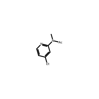 CCc1ccnc(N(C)C(C)=O)c1